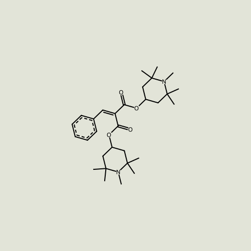 CN1C(C)(C)CC(OC(=O)C(=Cc2ccccc2)C(=O)OC2CC(C)(C)N(C)C(C)(C)C2)CC1(C)C